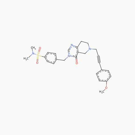 COc1ccc(C#CCN2CCc3ncn(Cc4ccc(S(=O)(=O)N(C)C)cc4)c(=O)c3C2)cc1